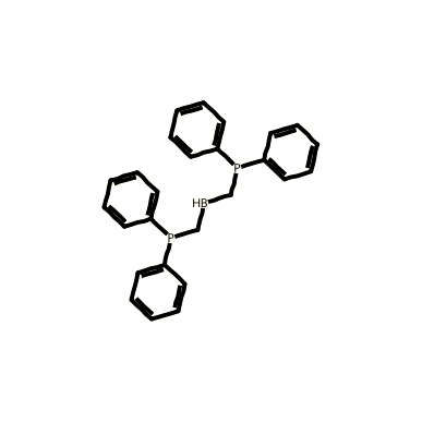 B(CP(c1ccccc1)c1ccccc1)CP(c1ccccc1)c1ccccc1